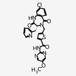 COc1cnc(NC(=O)c2ccc(CN3C(=O)c4ccc(Cl)cc4NC(=O)[C@H]3Cc3ccccn3)s2)nc1